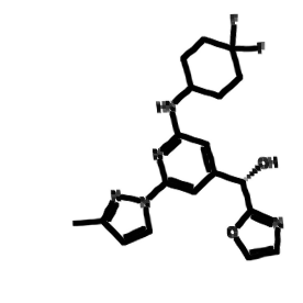 Cc1ccn(-c2cc([C@H](O)c3ncco3)cc(NC3CCC(F)(F)CC3)n2)n1